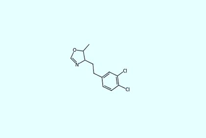 CC1OC=NC1CCc1ccc(Cl)c(Cl)c1